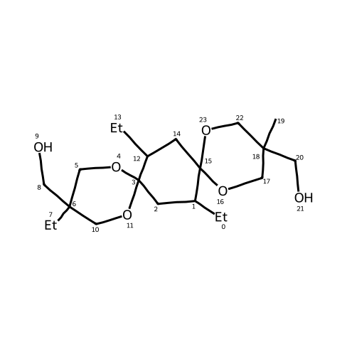 CCC1CC2(OCC(CC)(CO)CO2)C(CC)CC12OCC(C)(CO)CO2